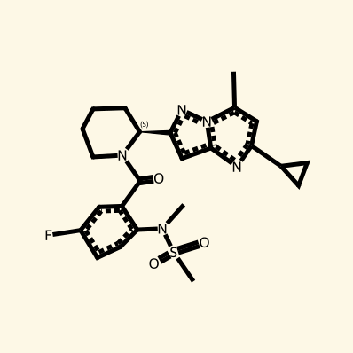 Cc1cc(C2CC2)nc2cc([C@@H]3CCCCN3C(=O)c3cc(F)ccc3N(C)S(C)(=O)=O)nn12